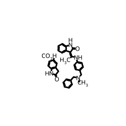 C/C(Nc1ccc(CN(C)Cc2ccccc2)cc1)=C1/C(=O)Nc2ccccc21.O=C1Cc2cc(C(=O)O)ccc2N1